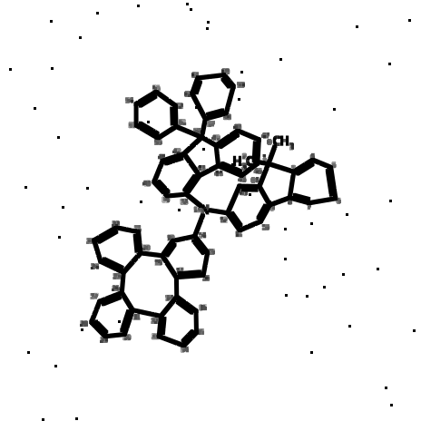 CC1(C)c2ccccc2-c2ccc(N(c3ccc4c(c3)-c3ccccc3-c3ccccc3-c3ccccc3-4)c3cccc4c3-c3ccccc3C4(c3ccccc3)c3ccccc3)cc21